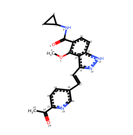 COc1c(C(=O)NC2CC2)ccc2[nH]nc(C=Cc3ccc(C(C)=O)nc3)c12